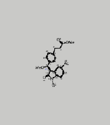 COC(=O)CCc1ccc(/C(OC)=C2/C(=O)N(C(C)=O)c3ccc(C(C)=O)cc32)cc1